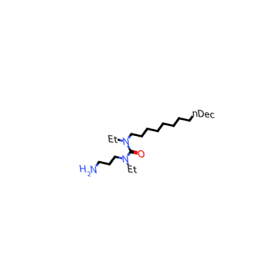 CCCCCCCCCCCCCCCCCCN(CC)C(=O)N(CC)CCCN